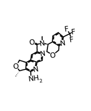 C[C@@H]1OCc2c1c(N)nc1cnc(C(=O)N(C)[C@@H]3COCc4nc(C(F)(F)F)ccc43)cc21